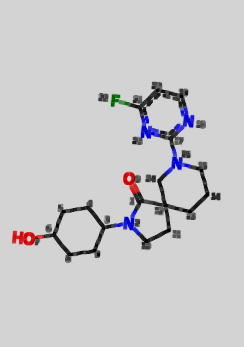 O=C1N(C2CCC(O)CC2)CCC12CCCN(c1nccc(F)n1)C2